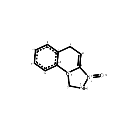 O=[N+]1NCN2C1=CCc1ccccc12